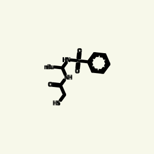 CCCCC(NC(=O)CS)NS(=O)(=O)c1ccccc1